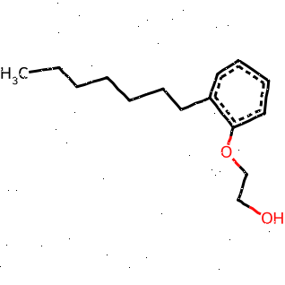 CCCCCCCc1ccccc1OCCO